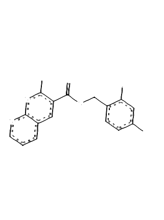 Cc1nc2ncccc2cc1C(=O)NCc1ccc(C(C)(C)C)cc1O